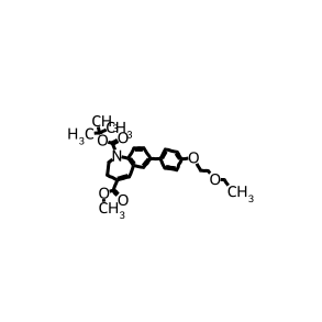 CCOCCOc1ccc(-c2ccc3c(c2)C=C(C(=O)OC)CCN3C(=O)OC(C)(C)C)cc1